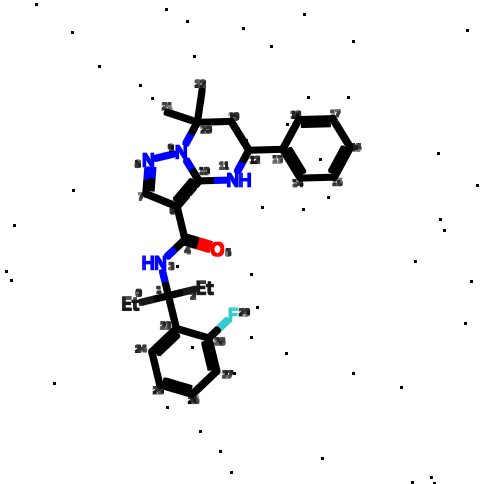 CCC(CC)(NC(=O)c1cnn2c1NC(c1ccccc1)CC2(C)C)c1ccccc1F